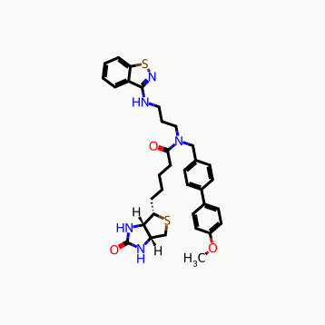 COc1ccc(-c2ccc(CN(CCCNc3nsc4ccccc34)C(=O)CCCC[C@@H]3SC[C@@H]4NC(=O)N[C@@H]43)cc2)cc1